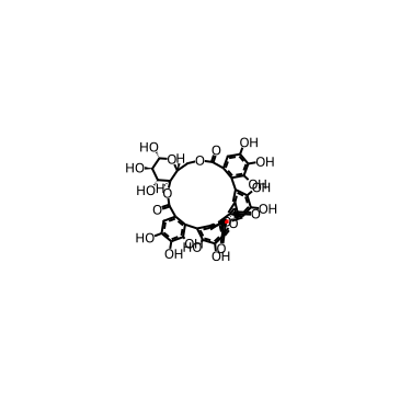 O=C1OC[C@H]2O[C@@H](O)[C@H](O)[C@@H](O)[C@@H]2OC(=O)c2cc(O)c(O)c(O)c2-c2c(O)c(O)c3oc(=O)c4c(c(O)c(O)c5oc(=O)c2c3c54)-c2c1cc(O)c(O)c2O